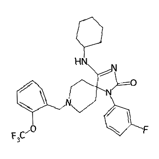 O=C1N=C(NC2CCCCC2)C2(CCN(Cc3ccccc3OC(F)(F)F)CC2)N1c1cccc(F)c1